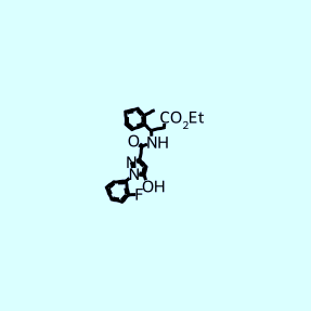 CCOC(=O)CC(NC(=O)c1cc(O)n(-c2ccccc2F)n1)c1ccccc1C